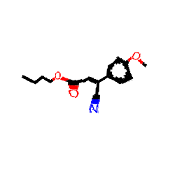 CCCCOC(=O)C=C(C#N)c1ccc(OC)cc1